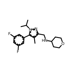 Cc1c(CNC2CCOCC2)nn(C(C)C)c1-c1cc(F)cc(F)c1